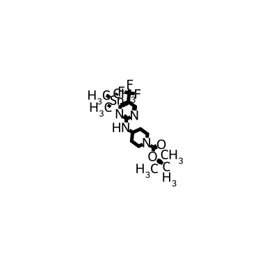 CC(C)(C)OC(=O)N1CCC(Nc2ncc(C(F)(F)F)[c]([Sn]([CH3])([CH3])[CH3])n2)CC1